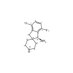 N[C@@H]1c2c(F)ccc(F)c2CC12CCNCC2